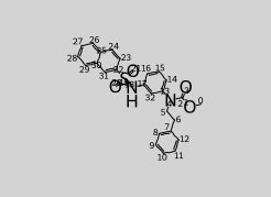 COC(=O)N(CCc1ccccc1)c1cccc(NS(=O)(=O)c2ccc3ccccc3c2)c1